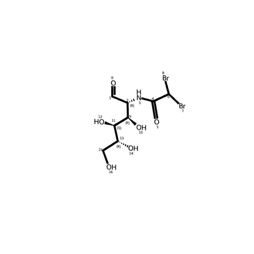 O=C[C@H](NC(=O)C(Br)Br)[C@@H](O)[C@H](O)[C@H](O)CO